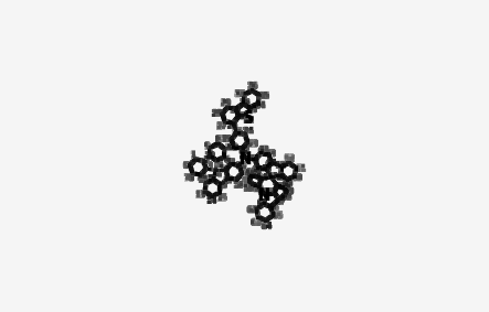 c1ccc(C2(c3ccccc3)c3ccccc3-c3ccc(N(c4ccc(-c5cccc6c5sc5ccccc56)cc4)c4ccc5c(c4)C4(c6ccccc6-5)c5ccccc5-n5c6ccccc6c6cccc4c65)cc32)cc1